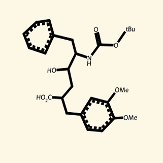 COc1ccc(CC(CC(O)C(Cc2ccccc2)NC(=O)OC(C)(C)C)C(=O)O)cc1OC